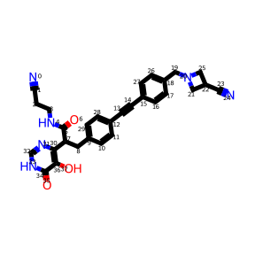 N#CCCNC(=O)C(Cc1ccc(C#Cc2ccc(CN3CC(C#N)C3)cc2)cc1)c1nc[nH]c(=O)c1O